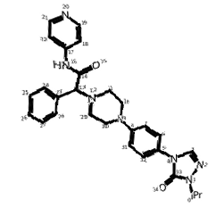 CC(C)n1ncn(-c2ccc(N3CCN(C(C(=O)Nc4ccncc4)c4ccccc4)CC3)cc2)c1=O